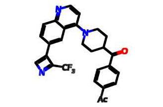 CC(=O)c1ccc(C(=O)C2CCN(c3ccnc4ccc(C5=CN=C5C(F)(F)F)cc34)CC2)cc1